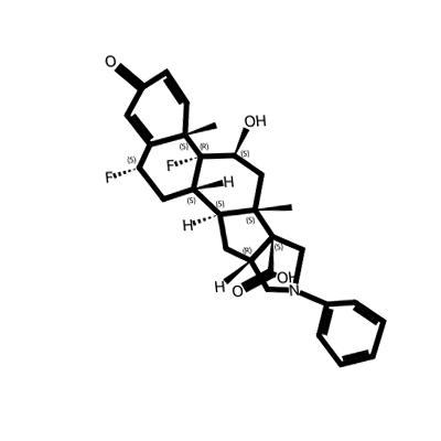 C[C@]12C=CC(=O)C=C1[C@@H](F)C[C@H]1[C@@H]3C[C@H]4CN(c5ccccc5)C[C@@]4(C(=O)O)[C@@]3(C)C[C@H](O)[C@@]12F